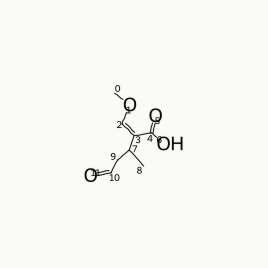 COC=C(C(=O)O)C(C)CC=O